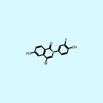 O=c1c2ccc(O)cc2c(Br)cn1-c1ccc(O)c(F)c1